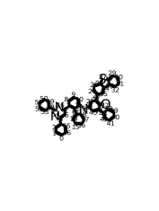 c1ccc(-c2cc(-c3cccc4c3c3ccccc3n4-c3cc(-c4ccc5sc6ccccc6c5c4)c4oc5ccccc5c4c3)nc(-c3ccccc3)n2)cc1